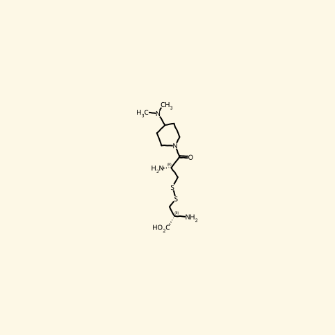 CN(C)C1CCN(C(=O)[C@@H](N)CSSC[C@H](N)C(=O)O)CC1